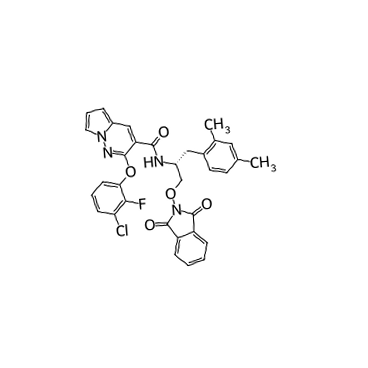 Cc1ccc(C[C@H](CON2C(=O)c3ccccc3C2=O)NC(=O)c2cc3cccn3nc2Oc2cccc(Cl)c2F)c(C)c1